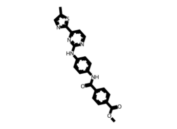 COC(=O)c1ccc(C(=O)Nc2ccc(Nc3nccc(-c4ncc(C)s4)n3)cc2)cc1